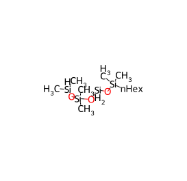 CCCCCC[Si](C)(C)O[SiH2]O[Si](C)(C)O[SiH](C)C